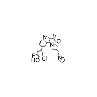 O=CC1(c2cnc3ccc(-c4cc(F)c(O)c(Cl)c4)cc3c2N2CCC(CCN3CCCC3)CC2)CC1